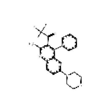 Cc1nc2ccc(N3CCOCC3)cc2c(-c2ccccc2)c1C(=O)C(F)(F)F